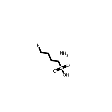 N.O=S(=O)(O)CCCCF